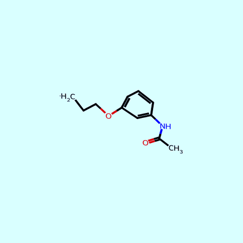 [CH2]CCOc1cccc(NC(C)=O)c1